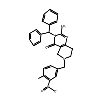 Cc1nc2c(c(=O)n1C(c1ccccc1)c1ccccc1)CN(Cc1ccc(F)c([N+](=O)[O-])c1)CC2